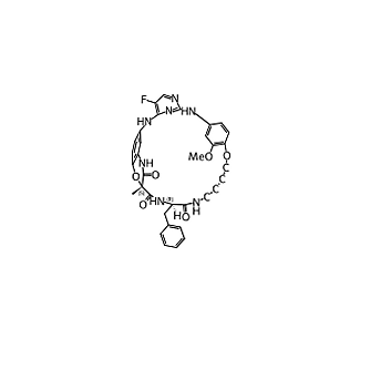 COc1cc2ccc1OCCCCNC(=O)[C@@H](Cc1ccccc1)NC(=O)[C@]1(C)Oc3ccc(cc3NC1=O)Nc1nc(ncc1F)N2